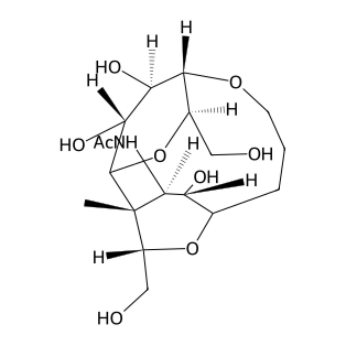 CC(=O)N[C@H]1[C@H](O)C2CCCO[C@H]3[C@H](O)[C@@H](O)C(O[C@@H]3CO)[C@@]1(C)[C@@H](CO)O2